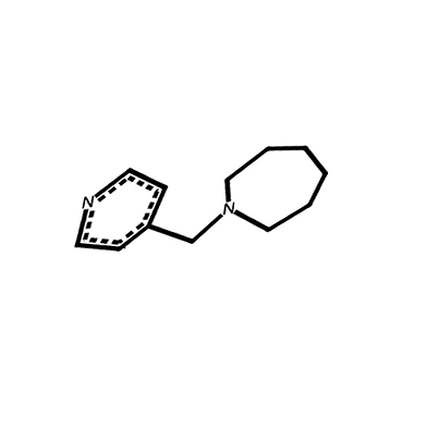 [c]1cnccc1CN1CCCCCC1